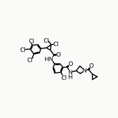 O=C(NC1CN(C(=O)C2CC2)C1)c1cc(NC(=O)C2C(c3cc(Cl)c(Cl)c(Cl)c3)C2(Cl)Cl)ccc1Cl